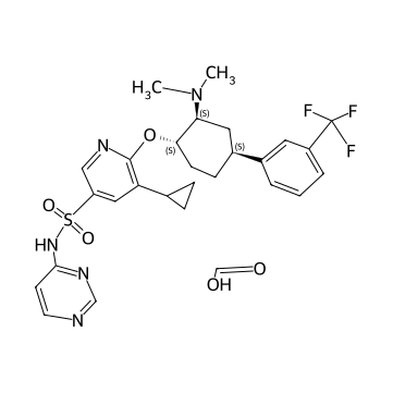 CN(C)[C@H]1C[C@@H](c2cccc(C(F)(F)F)c2)CC[C@@H]1Oc1ncc(S(=O)(=O)Nc2ccncn2)cc1C1CC1.O=CO